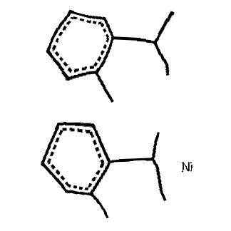 Cc1ccccc1C(C)C.Cc1ccccc1C(C)C.[Ni]